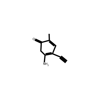 C#CC1=C(N)CC(=O)C(C)=C1